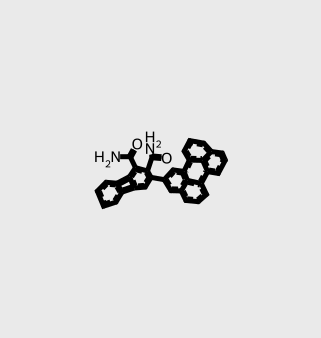 NC(=O)c1c(-c2cc3cccc4c5cccc6cccc(c(c2)c34)c65)cc2c(c1C(N)=O)=c1ccccc1=2